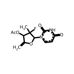 C=C1OC(n2ccc(=O)[nH]c2=O)C(C)(F)C1OC(C)=O